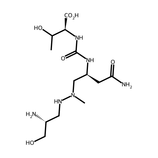 CC(O)[C@H](NC(=O)N[C@@H](CC(N)=O)CN(C)NC[C@@H](N)CO)C(=O)O